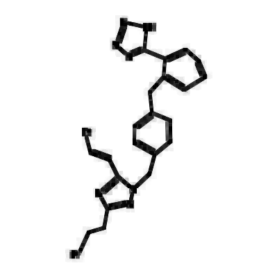 CCC=Cc1nc(CCC(C)C)nn1Cc1ccc(Cc2ccccc2-c2nnn[nH]2)cc1